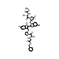 CC[C@H](NCC(=O)OCc1ccccc1)C(=O)N1CCC[C@H]1Cc1c(-c2nc3cc(F)ccc3n2C[C@@H]2C[C@H](F)CN2C(=O)[C@@H](NC(=O)OC(C)(C)C)C(C)C)[nH]c2cc(F)ccc12